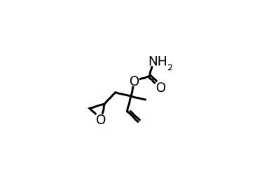 C=CC(C)(CC1CO1)OC(N)=O